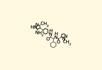 Cc1n[nH]c(N)c1-c1ccc(NC(=O)C(NC(=O)c2ccnn2C)C2CCCCC2)cc1